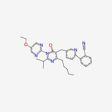 CCCCCc1nc(C(C)C)n(-c2ncc(OCC)cn2)c(=O)c1Cc1ccc(-c2ccccc2C#N)nc1